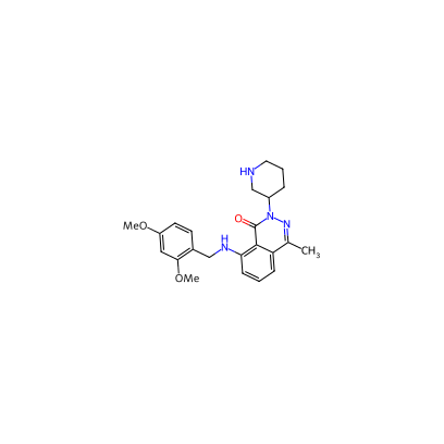 COc1ccc(CNc2cccc3c(C)nn(C4CCCNC4)c(=O)c23)c(OC)c1